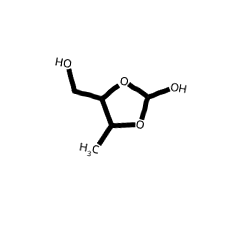 CC1OC(O)OC1CO